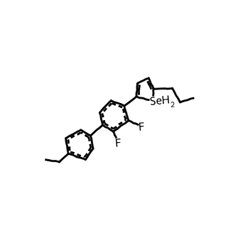 CCCC1=CC=C(c2ccc(-c3ccc(CC)cc3)c(F)c2F)[SeH2]1